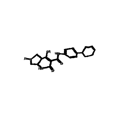 CCN1CC2NC(=O)C(C(=O)Nc3ccc(C4CCCCC4)cc3)=C(O)C2C1